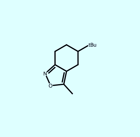 Cc1onc2c1CC(C(C)(C)C)CC2